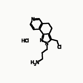 Cl.NCCCn1nc2c(c1CCl)CCc1cnccc1-2